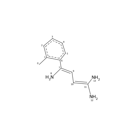 Cc1ccccc1/C(N)=C/C=C(N)N